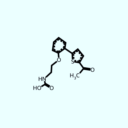 CC(=O)c1ccc(-c2ccccc2OCCNC(=O)O)s1